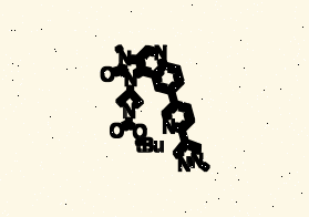 Cn1cc(-c2ccc(-c3ccc4ncc5c(c4c3)n(C3CN(C(=O)OC(C)(C)C)C3)c(=O)n5C)cn2)cn1